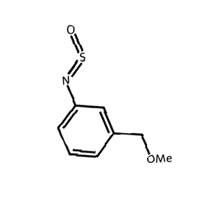 COCc1cccc(N=S=O)c1